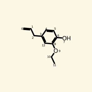 C=CCc1ccc(O)c(OCC)c1